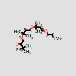 CCC(C)(C)C(=O)COC(C)(C)CCOC(C)(C)CCOCCNC